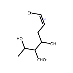 CC/C=C\CC(O)C([C]=O)C(C)O